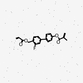 C=CC(=O)OCc1ccc(-c2ccc(OC(=O)C(=C)C)cc2)cc1F